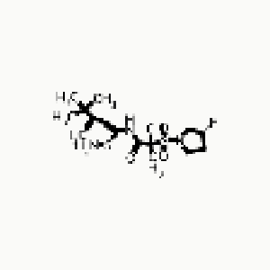 C=C(/C=C(/NC(=O)C(C)(C)S(=O)(=O)N1CC[C@@H](F)C1)SN)C(C)(C)C